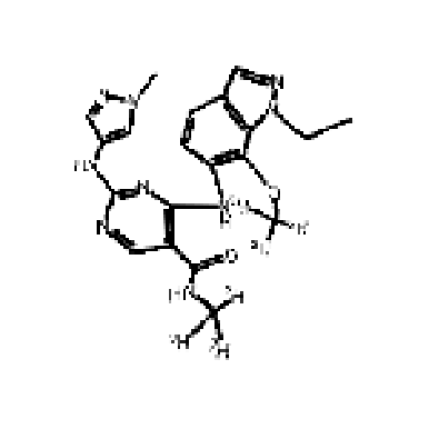 [2H]C([2H])([2H])NC(=O)c1cnc(Nc2cnn(C)c2)nc1Nc1ccc2cnn(CC)c2c1OC([2H])([2H])[2H]